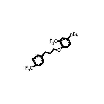 CCCCc1ccc(OCCCc2ccc(C(F)(F)F)cc2)c(C(F)(F)F)c1